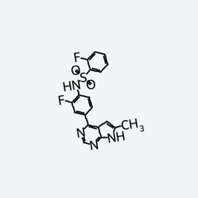 Cc1cc2c(-c3ccc(NS(=O)(=O)c4ccccc4F)c(F)c3)ncnc2[nH]1